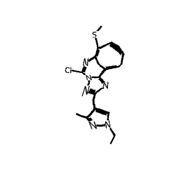 CCn1cc(-c2nc3c4cccc(SC)c4nc(Cl)n3n2)c(C)n1